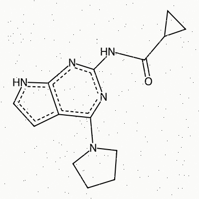 O=C(Nc1nc(N2CCCC2)c2cc[nH]c2n1)C1CC1